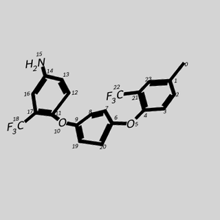 Cc1ccc(Oc2ccc(Oc3ccc(N)cc3C(F)(F)F)cc2)c(C(F)(F)F)c1